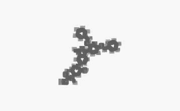 C[C@H]1CN(c2ccc3c(-c4ccc(OCc5ccccc5)nc4OCc4ccccc4)nn(C)c3c2)C(=O)C[C@H]1N(C)C(=O)O